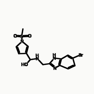 CS(=O)(=O)n1ccc(C(O)NCc2nc3ccc(Br)cc3[nH]2)c1